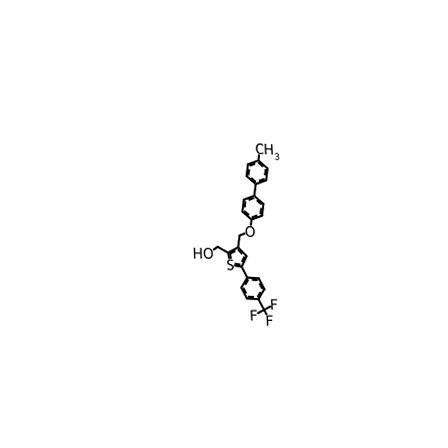 Cc1ccc(-c2ccc(OCc3cc(-c4ccc(C(F)(F)F)cc4)sc3CO)cc2)cc1